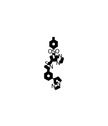 Cc1ccc(S(=O)(=O)n2cc(-c3nc(-c4cccc([C@H]5C=Cn6ccnc65)c4)cs3)c3nccnc32)cc1